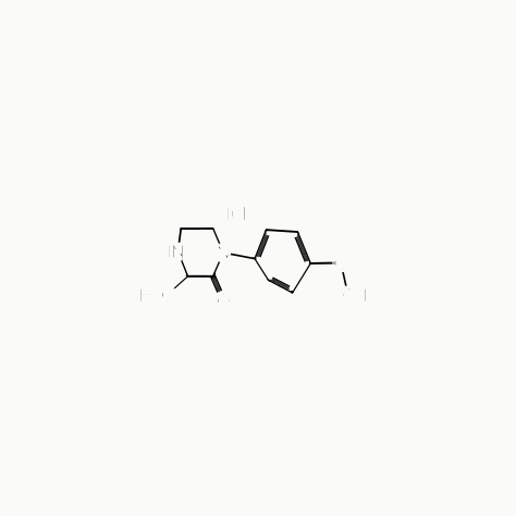 COc1ccc(N2CCNC(C)C2=O)cc1.Cl